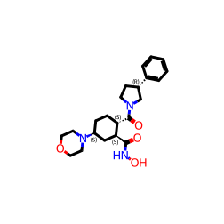 O=C(NO)[C@H]1C[C@@H](N2CCOCC2)CC[C@@H]1C(=O)N1CC[C@H](c2ccccc2)C1